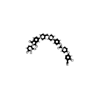 N#Cc1ccc(OC2CCN(C(=O)Oc3ccc(N4CCN(CC5CCN(c6ccc7c(c6)C(=O)N(C6CCC(=O)NC6=O)C7=O)CC5)CC4)cc3)CC2)cc1Cl